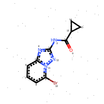 O=C(Nc1nc2cccc(Br)n2n1)C1CC1